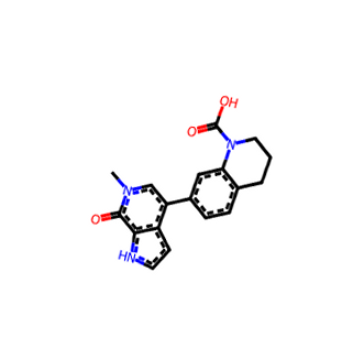 Cn1cc(-c2ccc3c(c2)N(C(=O)O)CCC3)c2cc[nH]c2c1=O